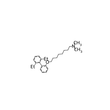 CCc1cccc(CC)c1-c1ccccc1OCCCCCCCCN(C)C